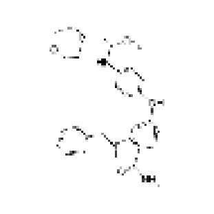 CC(CN1CCOCC1)Nc1ccc(Nc2cc(NCc3ccccc3)c(C(N)=O)cn2)cc1